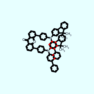 CC1(C)c2ccccc2-c2ccc(N(c3ccc(-c4ccccc4)cc3)c3ccc(-c4cccc5c(=O)c6cccc(-c7ccc(N(c8ccc(-c9ccccc9)cc8)c8ccc9c(c8)C(C)(C)c8ccccc8-9)cc7)c6oc45)cc3)cc21